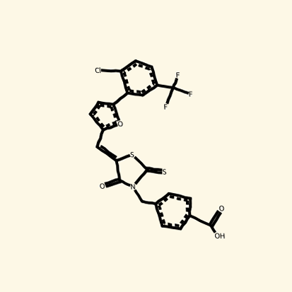 O=C(O)c1ccc(CN2C(=O)C(=Cc3ccc(-c4cc(C(F)(F)F)ccc4Cl)o3)SC2=S)cc1